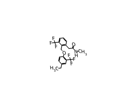 CCc1ccc(OCc2c(CC(=O)NC)cccc2C(F)(F)F)c(C(F)(F)F)c1